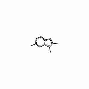 Cc1ccc2cc(C)c(C)n2c1